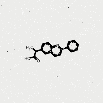 CC(C(=O)O)c1ccc2nc(-c3ccccc3)ccc2c1